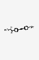 CCCC(F)=C(F)c1ccc(C#Cc2ccc(CCC)cc2)cc1